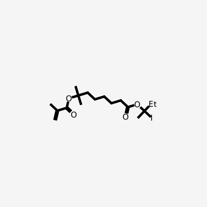 C=C(C)C(=O)OC(C)(C)CCCCCC(=O)OC(C)(I)CC